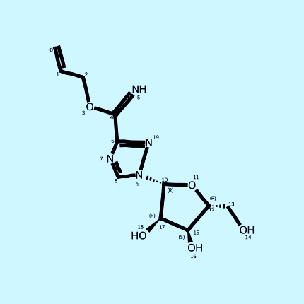 C=CCOC(=N)c1ncn([C@@H]2O[C@H](CO)[C@@H](O)[C@H]2O)n1